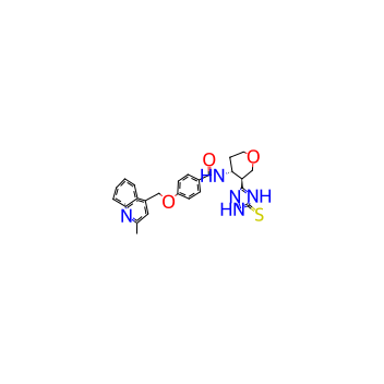 Cc1cc(COc2ccc(C(=O)N[C@@H]3CCOC[C@H]3c3n[nH]c(=S)[nH]3)cc2)c2ccccc2n1